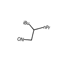 CCCC(CN=O)C(C)CC